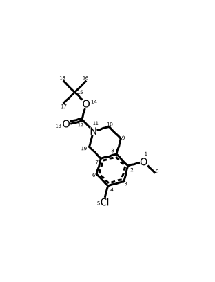 COc1cc(Cl)cc2c1CCN(C(=O)OC(C)(C)C)C2